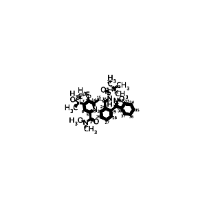 CN(C)C(=O)c1cc([Si](C)(C)C)c(F)c(C[C@H](N[S@@+]([O-])C(C)(C)C)c2ccccc2-c2noc3ccccc23)n1